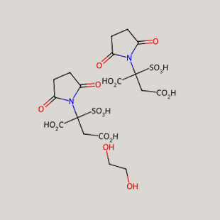 O=C(O)CC(C(=O)O)(N1C(=O)CCC1=O)S(=O)(=O)O.O=C(O)CC(C(=O)O)(N1C(=O)CCC1=O)S(=O)(=O)O.OCCO